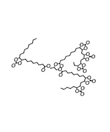 CCCCCCCCC1OC(=O)OC1CCCCCCCC(=O)OCC(COC(=O)CCCCCCCC1OC(=O)OC1CC1OC(=O)OC1CCCCC)OC(=O)CCCCCCCC1OC(=O)OC1CC1OC(=O)OC1CC1OC(=O)OC1CC